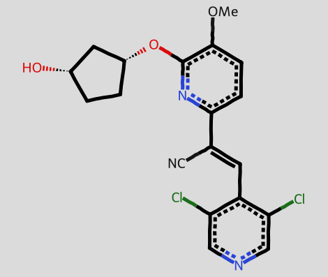 COc1ccc(/C(C#N)=C/c2c(Cl)cncc2Cl)nc1O[C@@H]1CC[C@H](O)C1